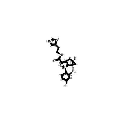 O=C(NCCc1c[nH]cn1)c1nn(-c2ccc(F)cc2F)c2c1C[C@H]1C[C@@H]21